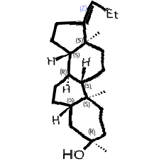 CC/C=C1/CC[C@H]2[C@@H]3CC[C@H]4C[C@](C)(O)CC[C@]4(C)[C@H]3CC[C@]12C